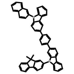 CC1(C)c2ccccc2-c2ccc(-n3c4ccccc4c4ccc(-c5ccc(-c6ccc7c(c6)c6ccccc6n7-c6ccc7ccccc7c6)cc5)cc43)cc21